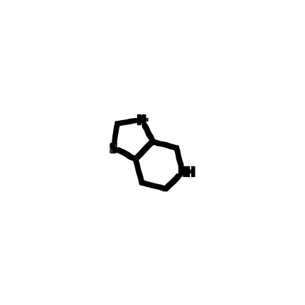 C1CC2SC[N]C2CN1